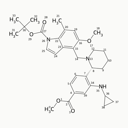 COC(=O)c1ccc([C@H]2CCCCN2Cc2c(OC)cc(C)c3c2ccn3C(=O)OC(C)(C)C)c(NC2CC2)c1